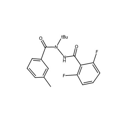 Cc1cccc(C(=O)N(NC(=O)c2c(F)cccc2F)C(C)(C)C)c1